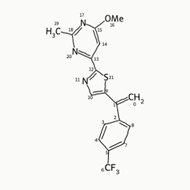 C=C(c1ccc(C(F)(F)F)cc1)c1cnc(-c2cc(OC)nc(C)n2)s1